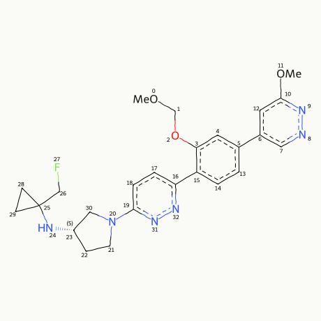 COCOc1cc(-c2cnnc(OC)c2)ccc1-c1ccc(N2CC[C@H](NC3(CF)CC3)C2)nn1